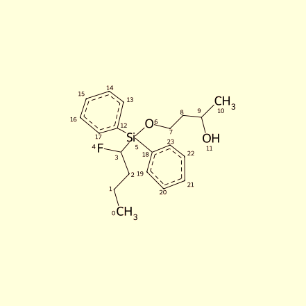 CCCC(F)[Si](OCCC(C)O)(c1ccccc1)c1ccccc1